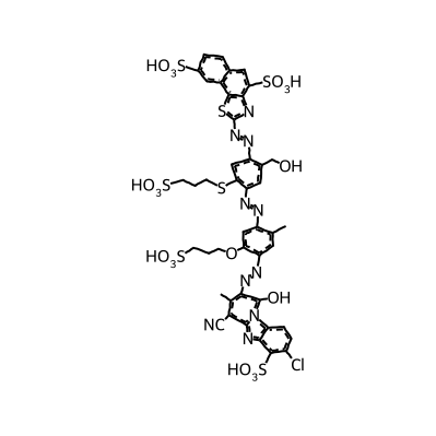 Cc1cc(N=Nc2c(C)c(C#N)c3nc4c(S(=O)(=O)O)c(Cl)ccc4n3c2O)c(OCCCS(=O)(=O)O)cc1N=Nc1cc(CO)c(N=Nc2nc3c(S(=O)(=O)O)cc4ccc(S(=O)(=O)O)cc4c3s2)cc1SCCCS(=O)(=O)O